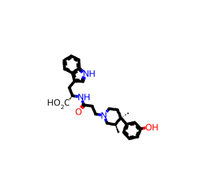 C[C@H]1CN(CCC(=O)N[C@@H](Cc2c[nH]c3ccccc23)C(=O)O)CC[C@@]1(C)c1cccc(O)c1